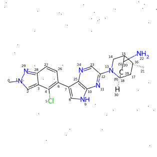 Cn1cc2c(Cl)c(-c3c[nH]c4nc(N5CC6CC[C@@H]5C[C@]6(C)N)cnc34)ccc2n1